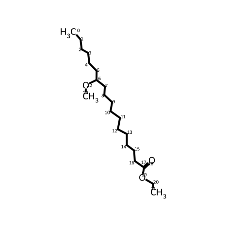 CCCCCCC(CCCCCCCCCCC(=O)OCC)OC